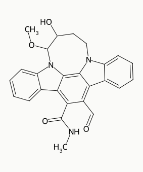 CNC(=O)c1c(C=O)c2c3ccccc3n3c2c2c1c1ccccc1n2C(OC)C(O)CC3